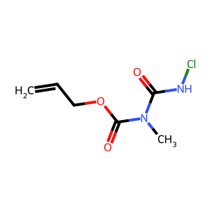 C=CCOC(=O)N(C)C(=O)NCl